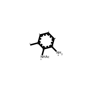 CC(=O)Nc1c(C)cccc1N